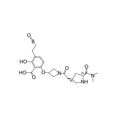 CN(C)C(=O)[C@@H]1C[C@H](CC(=O)N2CC(Oc3ccc(CCB=O)c(O)c3C(=O)O)C2)CN1